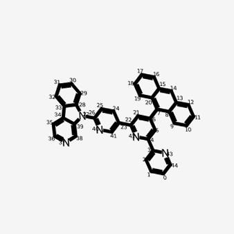 c1ccc(-c2cc(-c3c4ccccc4cc4ccccc34)cc(-c3ccc(-n4c5ccccc5c5ccncc54)nc3)n2)nc1